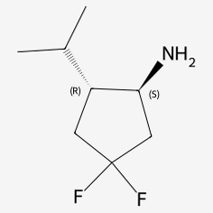 CC(C)[C@H]1CC(F)(F)C[C@@H]1N